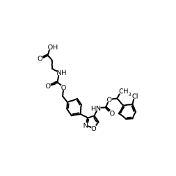 CC(OC(=O)Nc1conc1-c1ccc(COC(=O)NCCC(=O)O)cc1)c1ccccc1Cl